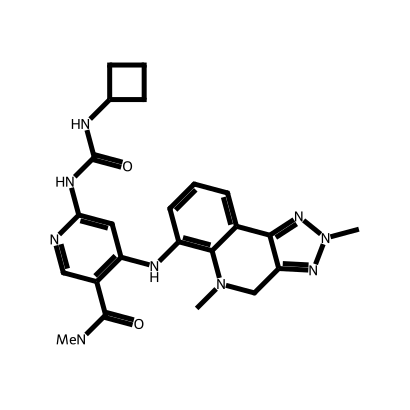 CNC(=O)c1cnc(NC(=O)NC2CCC2)cc1Nc1cccc2c1N(C)Cc1nn(C)nc1-2